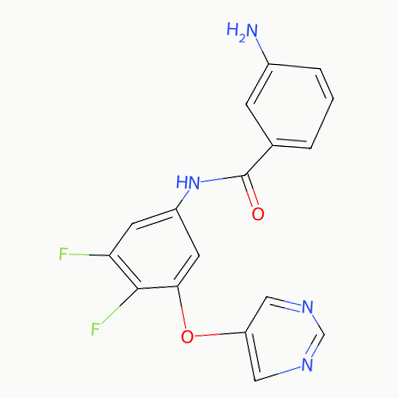 Nc1cccc(C(=O)Nc2cc(F)c(F)c(Oc3cncnc3)c2)c1